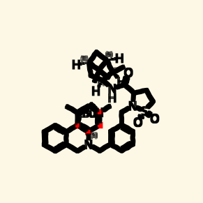 Cc1ccccc1-c1ccccc1CN(Cc1cccc(CN2C(C(=O)N[C@H]3C[C@H]4C[C@@H]([C@@H]3C)C4(C)C)CCS2(=O)=O)c1)[C@H](CN(C)C)CC(C)(C)C